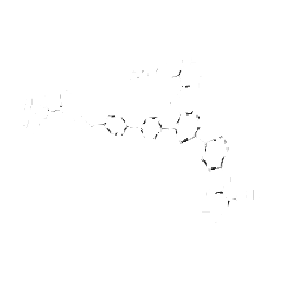 C=C(C)C(=O)OCCc1ccc(-c2ccc(-c3cc(-c4ccc(OC(=O)C(=C)C)cc4)ccc3OC(=O)C(=C)COC)cc2)cc1